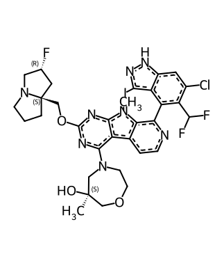 Cn1c2nc(OC[C@@]34CCCN3C[C@H](F)C4)nc(N3CCOC[C@@](C)(O)C3)c2c2ccnc(-c3c(C(F)F)c(Cl)cc4[nH]nc(I)c34)c21